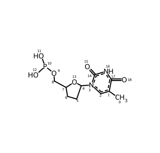 Cc1cn(C2CCC(COP(O)O)O2)c(=O)[nH]c1=O